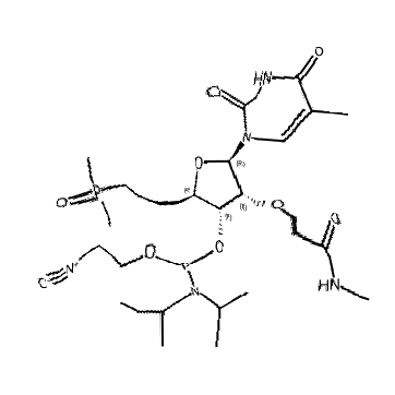 [C-]#[N+]CCOP(O[C@H]1[C@@H](OCC(=O)NC)[C@H](n2cc(C)c(=O)[nH]c2=O)O[C@@H]1CCP(C)(C)=O)N(C(C)C)C(C)C